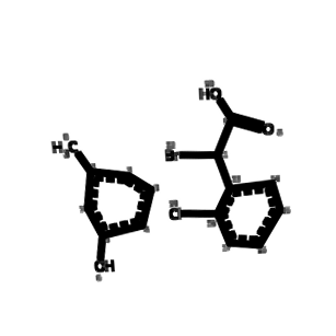 Cc1cccc(O)c1.O=C(O)C(Br)c1ccccc1Cl